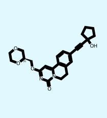 O=c1nc(OC[C@@H]2COCCO2)cc2n1CCc1cc(C#CC3(O)CCCC3)ccc1-2